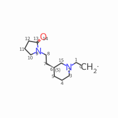 [CH2]CN1CCC[C@@H](CCN2CCCC2=O)C1